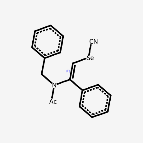 CC(=O)N(Cc1ccccc1)/C(=C/[Se]C#N)c1ccccc1